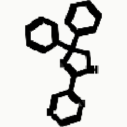 c1ccc(C2(c3ccccc3)CNC(c3cnccn3)=N2)cc1